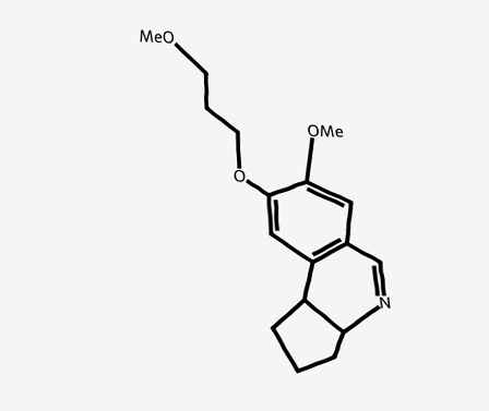 COCCCOc1cc2c(cc1OC)C=NC1CCCC21